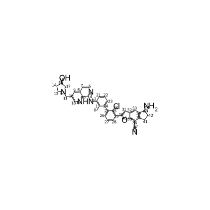 Cc1c(Nc2nccc3cc(CN4CC[C@@H](O)C4)cnc23)cccc1-c1cccc(-c2cc3cc4c(c(C#N)c3o2)CC[C@H]4N)c1Cl